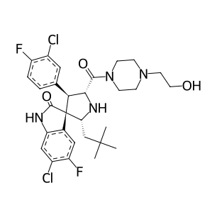 CC(C)(C)C[C@H]1N[C@@H](C(=O)N2CCN(CCO)CC2)[C@H](c2ccc(F)c(Cl)c2)[C@@]12C(=O)Nc1cc(Cl)c(F)cc12